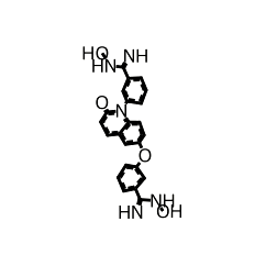 N=C(NO)c1cccc(Oc2ccc3c(ccc(=O)n3-c3cccc(C(=N)NO)c3)c2)c1